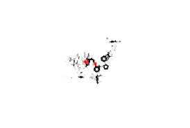 CC(C)=C1OC(=O)N(c2cc(OC3CCCC3)c(Cl)cc2F)C1=O.COc1cc(OC)nc(NC(=O)NS(=O)(=O)c2ncccc2C(=O)N(C)C)n1.C[S+](C)C.O=C(Nc1nc(OC(F)F)cc(OC(F)F)n1)NS(=O)(=O)c1ccccc1C(=O)O.O=C(O)CNCP(=O)([O-])O